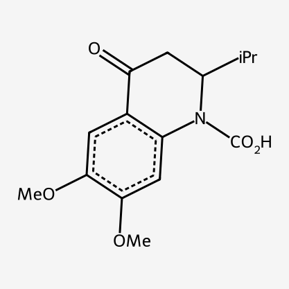 COc1cc2c(cc1OC)N(C(=O)O)C(C(C)C)CC2=O